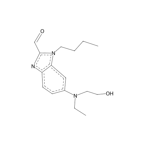 CCCCn1c(C=O)nc2ccc(N(CC)CCO)cc21